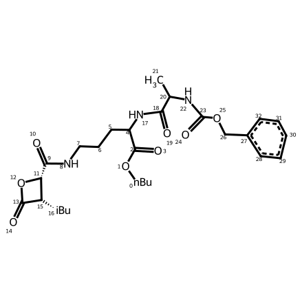 CCCCOC(=O)C(CCCNC(=O)[C@H]1OC(=O)C1[C@@H](C)CC)NC(=O)C(C)NC(=O)OCc1ccccc1